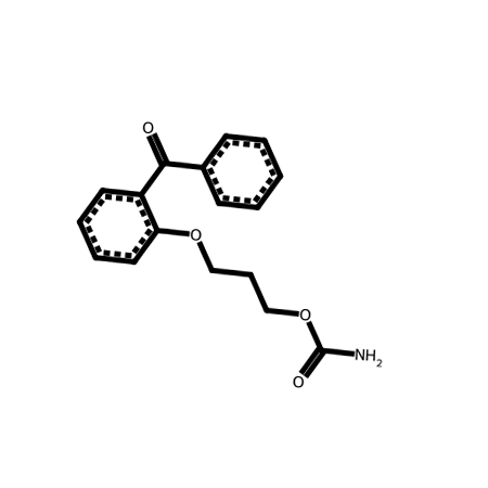 NC(=O)OCCCOc1ccccc1C(=O)c1ccccc1